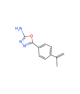 C=C(C)c1ccc(-c2nnc(N)o2)cc1